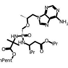 CCCCCOC(=O)C(C)(C)N[P@](=O)(CO[C@H](C)Cn1cnc2c(N)ncnc21)NC(CC(=O)OC(C)C)C(C)C